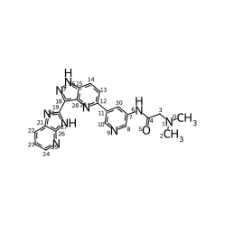 CN(C)CC(=O)Nc1cncc(-c2ccc3[nH]nc(-c4nc5cccnc5[nH]4)c3n2)c1